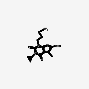 Cc1c(C=O)sc2c1c(=O)n(C1CC1)c(=O)n2CCOC(F)(F)F